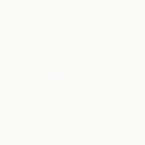 CCC[CH2][Sn](/[CH]=C/C1(O)C(C)=CC2(CC1(C)C)OC(C)C(C)O2)([CH2]CCC)[CH2]CCC